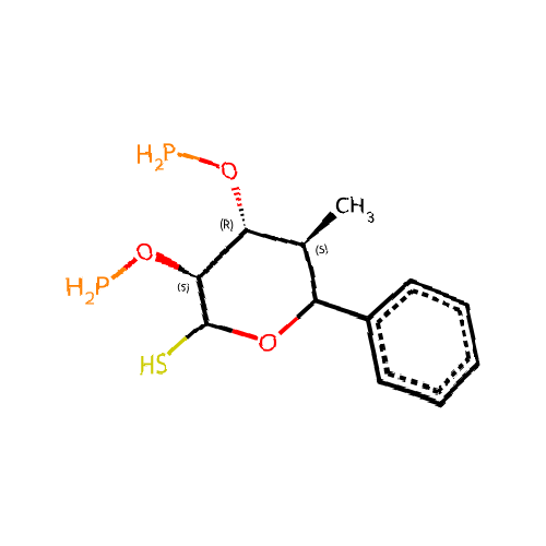 C[C@H]1C(c2ccccc2)OC(S)[C@@H](OP)[C@@H]1OP